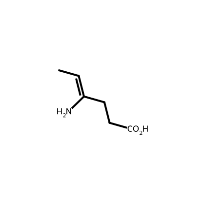 CC=C(N)CCC(=O)O